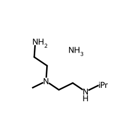 CC(C)NCCN(C)CCN.N